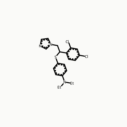 CCN(CC)c1ccc(SC(Cn2ccnc2)c2ccc(Cl)cc2Cl)cc1